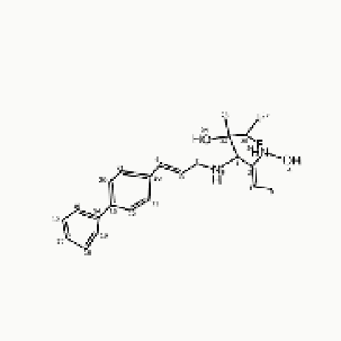 CC=C(NO)C(NC/C=C/c1ccc(-c2ccccc2)cc1)C(C)(O)C(F)I